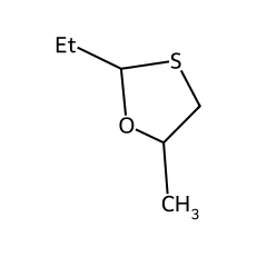 CCC1OC(C)CS1